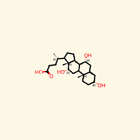 C[C@@H](CCC(=O)O)C1CCC2C3C(C[C@H](O)[C@@]21C)[C@@]1(C)CC[C@@H](O)CC1C[C@H]3O